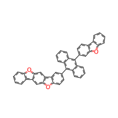 c1ccc2c(c1)oc1cc(-c3c4ccccc4c(-c4ccc5oc6cc7c(cc6c5c4)oc4ccccc47)c4ccccc34)ccc12